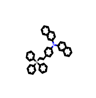 C(=C\[Si](c1ccccc1)(c1ccccc1)c1ccccc1)/c1ccc(N(c2ccc3ccccc3c2)c2ccc3ccccc3c2)cc1